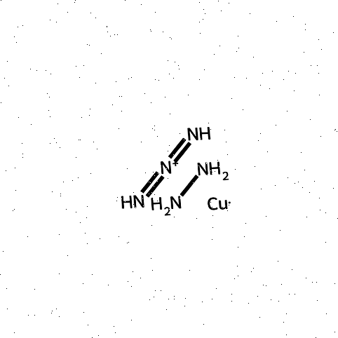 N=[N+]=N.NN.[Cu]